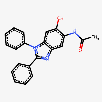 CC(=O)Nc1cc2nc(-c3ccccc3)n(-c3ccccc3)c2cc1O